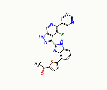 CC(=O)c1ccc(-c2cccc3[nH]c(-c4n[nH]c5cnc(-c6cncnc6)c(F)c45)nc23)s1